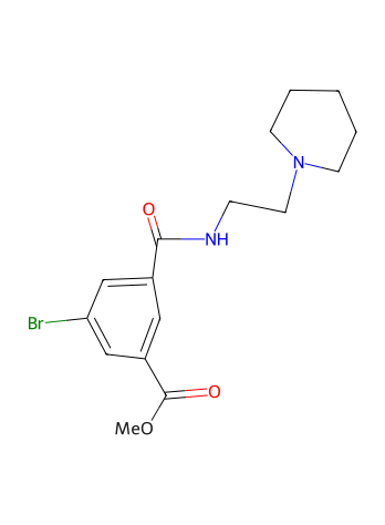 COC(=O)c1cc(Br)cc(C(=O)NCCN2CCCCC2)c1